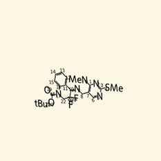 CNc1nc(SC)ncc1C/N=C1/c2ccccc2N(C(=O)OC(C)(C)C)CC1(F)F